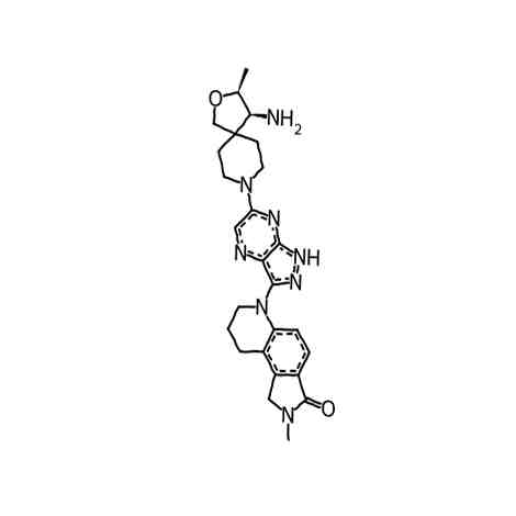 C[C@@H]1OCC2(CCN(c3cnc4c(N5CCCc6c5ccc5c6CN(C)C5=O)n[nH]c4n3)CC2)[C@@H]1N